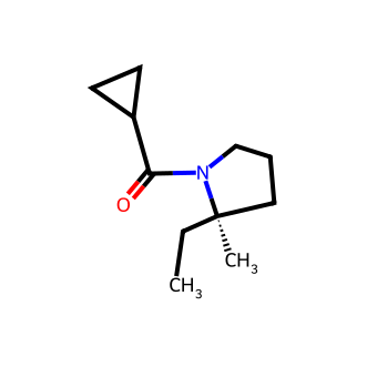 CC[C@]1(C)CCCN1C(=O)C1CC1